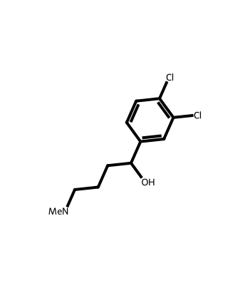 CNCCCC(O)c1ccc(Cl)c(Cl)c1